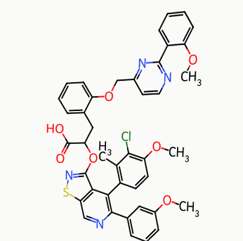 COc1cccc(-c2ncc3snc(OC(Cc4ccccc4OCc4ccnc(-c5ccccc5OC)n4)C(=O)O)c3c2-c2ccc(OC)c(Cl)c2C)c1